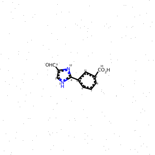 O=Cc1c[nH]c(-c2cccc(C(=O)O)c2)n1